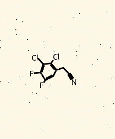 N#CCc1cc(F)c(F)c(Cl)c1Cl